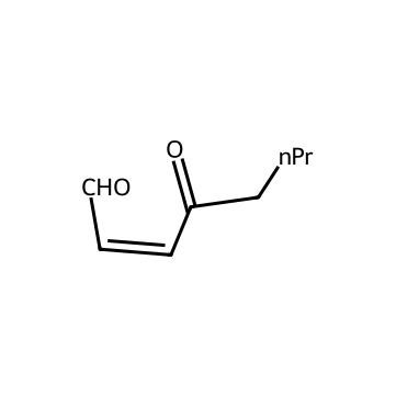 CCCCC(=O)/C=C\C=O